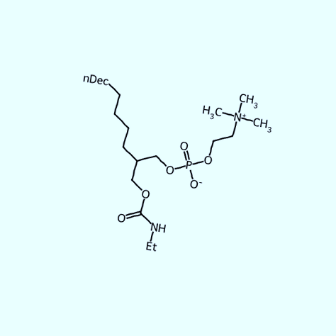 CCCCCCCCCCCCCCC(COC(=O)NCC)COP(=O)([O-])OCC[N+](C)(C)C